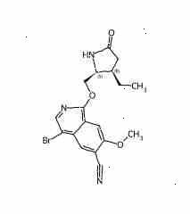 CC[C@@H]1CC(=O)N[C@@H]1COc1ncc(Br)c2cc(C#N)c(OC)cc12